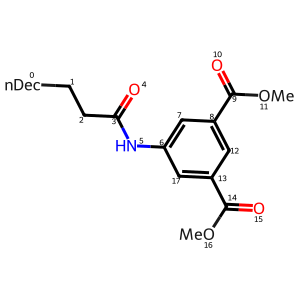 CCCCCCCCCCCCC(=O)Nc1cc(C(=O)OC)cc(C(=O)OC)c1